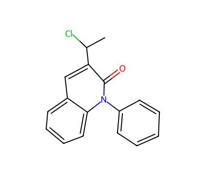 CC(Cl)c1cc2ccccc2n(-c2ccccc2)c1=O